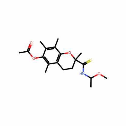 COC(C)NC(=S)C1(C)CCc2c(C)c(OC(C)=O)c(C)c(C)c2O1